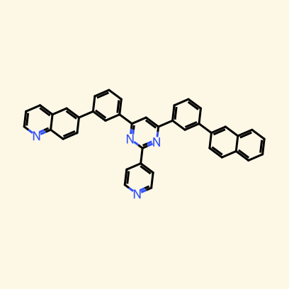 c1cc(-c2ccc3ccccc3c2)cc(-c2cc(-c3cccc(-c4ccc5ncccc5c4)c3)nc(-c3ccncc3)n2)c1